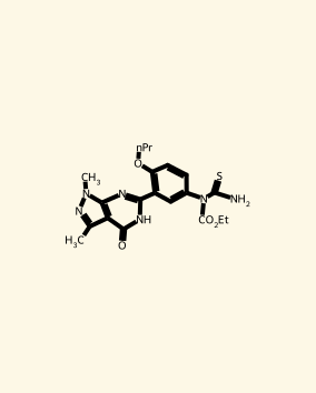 CCCOc1ccc(N(C(=O)OCC)C(N)=S)cc1-c1nc2c(c(C)nn2C)c(=O)[nH]1